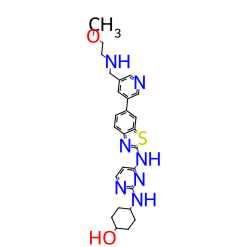 COCCNCc1cncc(-c2ccc3nc(Nc4ccnc(N[C@H]5CC[C@H](O)CC5)n4)sc3c2)c1